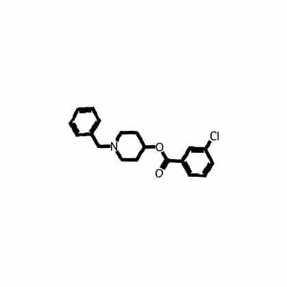 O=C(OC1CCN(Cc2ccccc2)CC1)c1cccc(Cl)c1